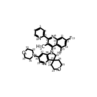 Cc1c(-c2ccccn2)nc2cc(F)cc(F)c2c1N1CC2(CCOCC2)c2ncc(N3CCOCC3)cc21